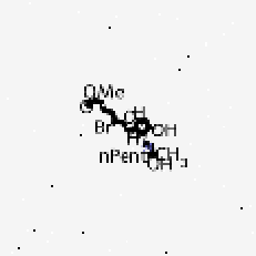 CCCCCC(C)(O)/C=C/[C@@H]1[C@H]2CC(C(Br)CCCC(=O)OC)O[C@@H]2C[C@H]1O